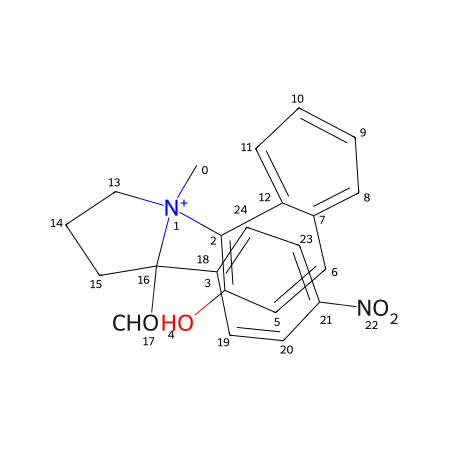 C[N+]1(c2c(O)ccc3ccccc23)CCCC1(C=O)c1ccc([N+](=O)[O-])cc1